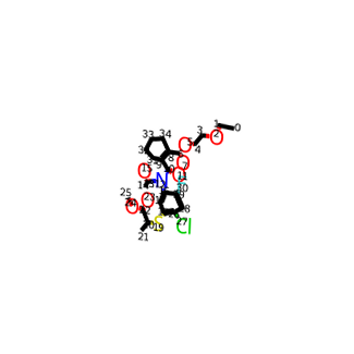 CCOCCOC(=O)C1=C(C(=O)N(C(C)=O)c2cc(SC(C)C(=O)OC)c(Cl)cc2F)CCCC1